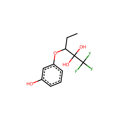 CCC(Oc1cccc(O)c1)C(O)(O)C(F)(F)F